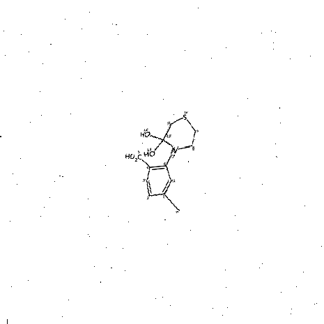 Cc1ccc(C(=O)O)c(N2CCSCC2(O)O)c1